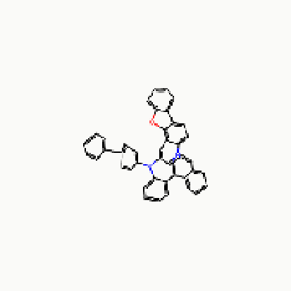 c1ccc(-c2ccc(N(c3cnc4ccc5c6ccccc6oc5c4c3)c3ccccc3-c3cccc4ccccc34)cc2)cc1